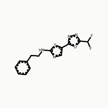 FC(F)c1nnc(-c2cnc(NCCc3ccccc3)s2)o1